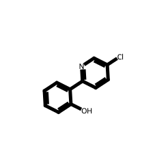 Oc1ccccc1-c1ccc(Cl)cn1